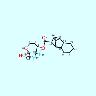 O=C(OC1CCOC(O)(C(F)(F)F)C1(F)F)C1CC2CC1C1CCCCC21